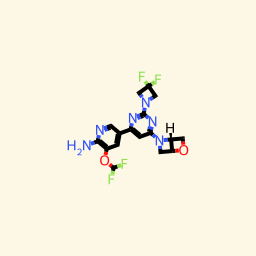 Nc1ncc(-c2cc(N3CC4OC[C@H]43)nc(N3CC(F)(F)C3)n2)cc1OC(F)F